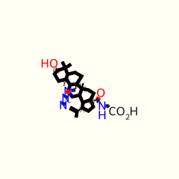 C=C(C)[C@@H]1CC[C@]2(C(=O)NCC(=O)O)CC[C@]3(C)C(CCC4[C@@]5(C)CC[C@H](O)C(C)(C)C5CC[C@]43CN=[N+]=[N-])C12